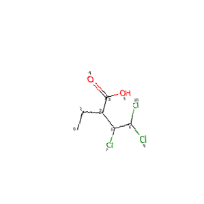 CCC(C(=O)O)C(Cl)C(Cl)Cl